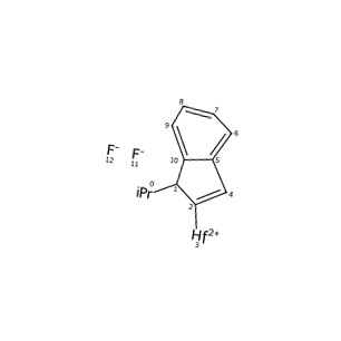 CC(C)C1[C]([Hf+2])=Cc2ccccc21.[F-].[F-]